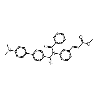 [2H]C(c1ccc(-c2ccc(N(C)C)cc2)cc1)N(C(=O)c1ccccc1)c1cccc(/C=C/C(=O)OC)c1